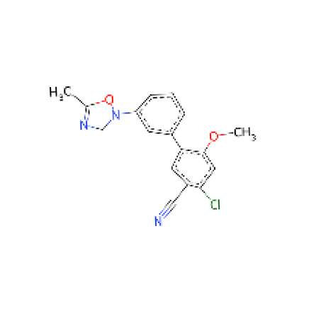 COc1cc(Cl)c(C#N)cc1-c1cccc(N2CN=C(C)O2)c1